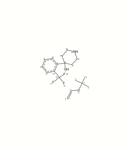 CC(C)(C)OC=O.OC1(c2ccccc2C(F)(F)F)CCNCC1